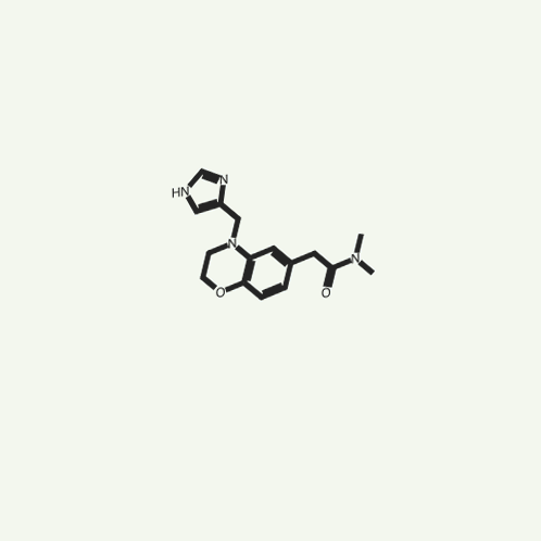 CN(C)C(=O)Cc1ccc2c(c1)N(Cc1c[nH]cn1)CCO2